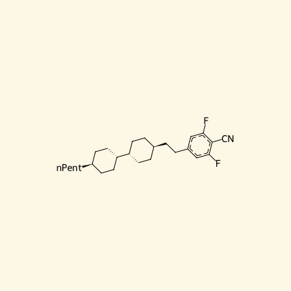 CCCCC[C@H]1CC[C@H]([C@H]2CC[C@H](CCc3cc(F)c(C#N)c(F)c3)CC2)CC1